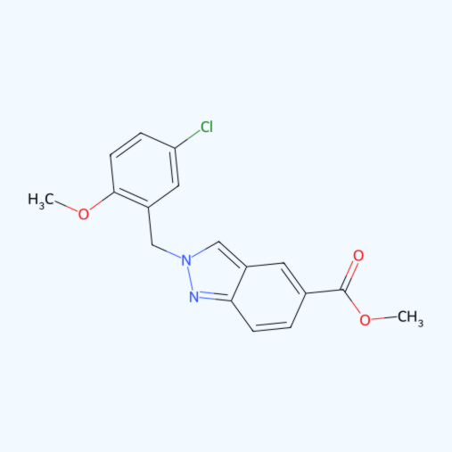 COC(=O)c1ccc2nn(Cc3cc(Cl)ccc3OC)cc2c1